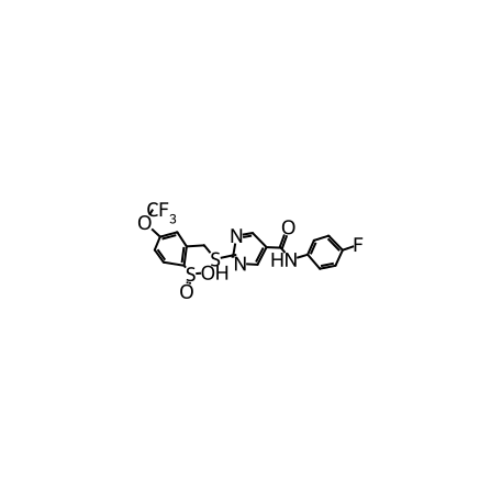 O=C(Nc1ccc(F)cc1)c1cnc(SCc2cc(OC(F)(F)F)ccc2S(=O)O)nc1